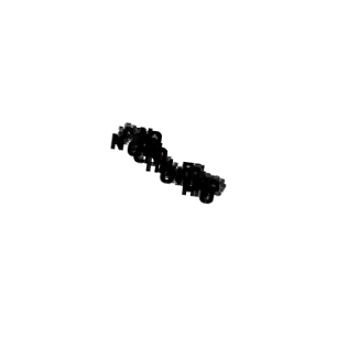 CC(=O)Nc1cc(-c2cccc(C#N)c2)cnc1C(=O)NCCOCCNCC(=O)N1CCN(C(=O)c2cc(Cc3n[nH]c(=O)c4ccccc34)ccc2F)CC1